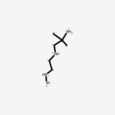 CC(C)NCCNCC(C)(C)N